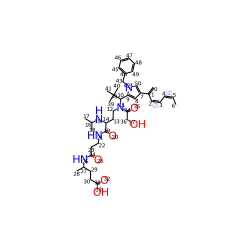 C=C(/C=C\C=C/C)c1cc(C(N(CCC(NC(C)C)C(=O)NCCC(=O)NC(C)CCC(=O)O)C(=O)CO)C(C)(C)C)n(Cc2ccccc2)c1